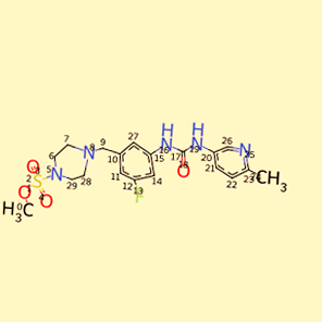 COS(=O)(=O)N1CCN(Cc2cc(F)cc(NC(=O)Nc3ccc(C)nc3)c2)CC1